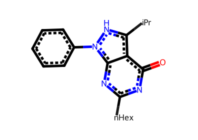 CCCCCCc1nc2n(-c3ccccc3)[nH]c(C(C)C)c-2c(=O)n1